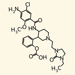 CCN1CCN(CCN2CCC(NC(=O)c3cc(Cl)c(N)cc3OC)C(c3ccccc3OC(=O)O)C2)C1=O